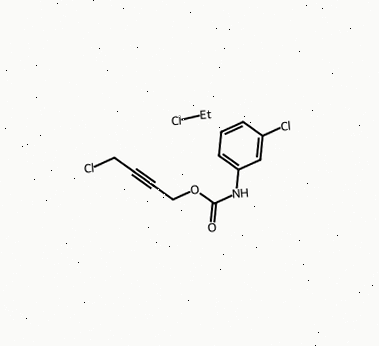 CCCl.O=C(Nc1cccc(Cl)c1)OCC#CCCl